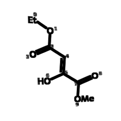 CCOC(=O)/C=C(\O)C(=O)OC